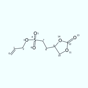 C=CCOS(=O)(=O)CCC1COC(=O)O1